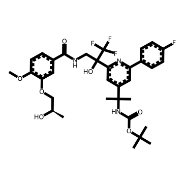 COc1ccc(C(=O)NCC(O)(c2cc(C(C)(C)NC(=O)OC(C)(C)C)cc(-c3ccc(F)cc3)n2)C(F)(F)F)cc1OC[C@@H](C)O